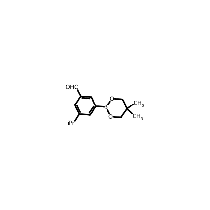 CC(C)c1cc(C=O)cc(B2OCC(C)(C)CO2)c1